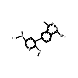 COc1ncc(B(C)O)cc1-c1ccc2c(N)nnc(C)c2c1